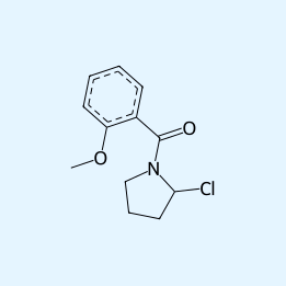 COc1ccccc1C(=O)N1CCCC1Cl